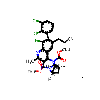 Cc1nc2c(F)c(-c3cccc(Cl)c3Cl)c(CCC#N)cc2c(N(C(=O)OC(C)(C)C)[C@H]2[C@@H]3C[C@H]2N(C(=O)OC(C)(C)C)C3)c1I